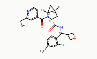 CC(C)Cc1cc(C(=O)N2[C@@H](C(=O)N[C@@H](c3ccc(C(F)(F)F)cc3F)C3COC3)C[C@H]3C[C@H]32)ccn1